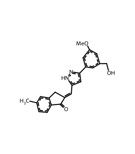 COc1cc(CO)cc(-c2cc(/C=C3\Cc4cc(C)ccc4C3=O)[nH]n2)c1